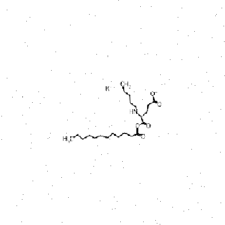 CCCCCCCCCCCC(=O)OC(=O)[C@H](CCC(=O)[O-])NCCCCC.[K+]